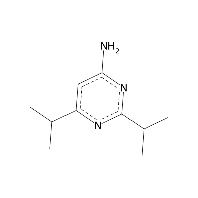 CC(C)c1cc(N)nc(C(C)C)n1